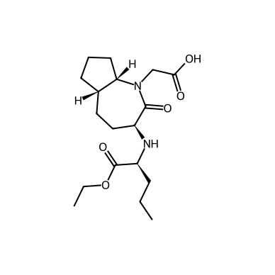 CCC[C@H](N[C@H]1CC[C@@H]2CCC[C@@H]2N(CC(=O)O)C1=O)C(=O)OCC